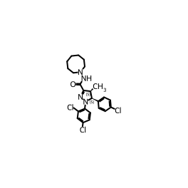 C[C@@H]1C(C(=O)NN2CCCCCCC2)=NN(c2ccc(Cl)cc2Cl)[C@@H]1c1ccc(Cl)cc1